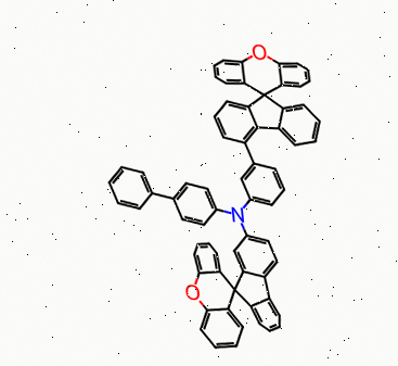 c1ccc(-c2ccc(N(c3cccc(-c4cccc5c4-c4ccccc4C54c5ccccc5Oc5ccccc54)c3)c3ccc4c(c3)C3(c5ccccc5Oc5ccccc53)c3ccccc3-4)cc2)cc1